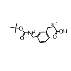 C[C@@H](Cc1cccc(CNC(=O)OC(C)(C)C)c1)C(=O)O